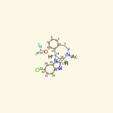 CC(=O)N1CCc2cccc(OC(F)F)c2[C@H]2C[C@@H]1c1nc3ccc(Cl)cc3n12